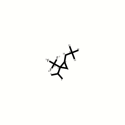 CC(C)C1(C(F)(F)F)CC1CC(C)(C)C